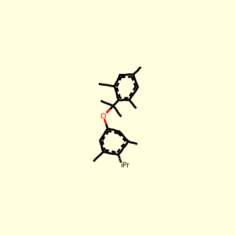 Cc1cc(C)c(C(C)(C)Oc2cc(C)c(C(C)C)c(C)c2)c(C)c1